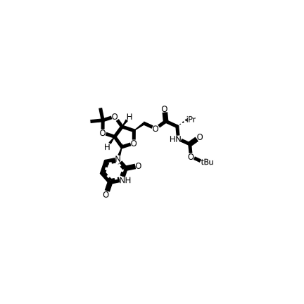 CC(C)[C@H](NC(=O)OC(C)(C)C)C(=O)OC[C@H]1O[C@@H](n2ccc(=O)[nH]c2=O)[C@@H]2OC(C)(C)O[C@@H]21